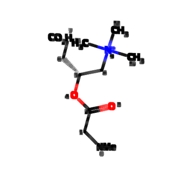 CNCC(=O)O[C@H](CC(=O)O)C[N+](C)(C)C